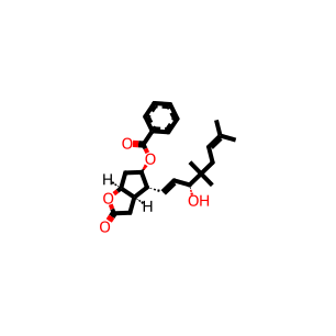 CC(C)=CCC(C)(C)[C@H](O)/C=C/[C@@H]1[C@H]2CC(=O)O[C@H]2C[C@H]1OC(=O)c1ccccc1